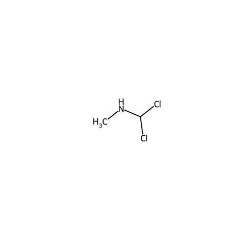 CNC(Cl)Cl